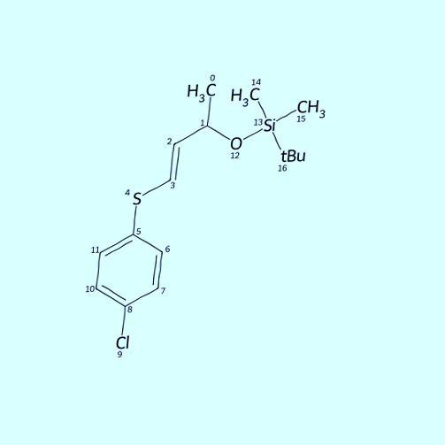 CC(C=CSc1ccc(Cl)cc1)O[Si](C)(C)C(C)(C)C